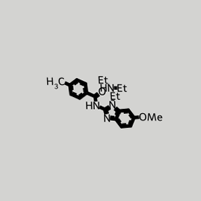 CCNCC.CCn1c(NC(=O)c2ccc(C)cc2)nc2ccc(OC)cc21